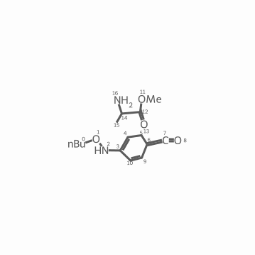 CCCCONC1=CCC(=C=O)C=C1.COC(=O)C(C)N